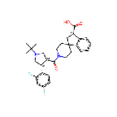 CC(C)(C)N1C[C@@H](C(=O)N2CCC3(CC2)C[C@@H](C(=O)O)c2ccccc23)[C@H](c2ccc(F)cc2F)C1